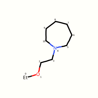 [CH2]COCCN1CCCCCC1